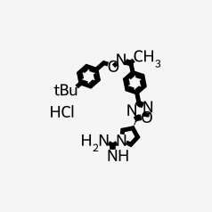 CC(=NOCc1ccc(C(C)(C)C)cc1)c1ccc(-c2noc([C@@H]3CCN(C(=N)N)C3)n2)cc1.Cl